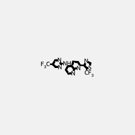 FC(F)(F)c1cnc(Nc2ccnc3nc(-c4ncsc4C(F)(F)F)ccc23)nc1